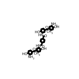 CC(C)(c1ccc(O)c(N)c1)c1ccc(O)c(NC(=O)c2ccc(C(=O)Nc3cc(C(C)(C)c4ccc(O)c(N)c4)ccc3O)cc2)c1